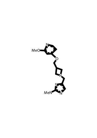 CNc1ncc(CN2CC(COc3ccnc(OC)c3)C2)s1